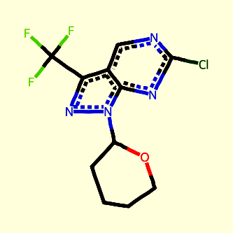 FC(F)(F)c1nn(C2CCCCO2)c2nc(Cl)ncc12